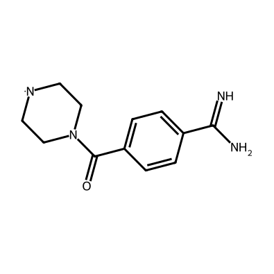 N=C(N)c1ccc(C(=O)N2CC[N]CC2)cc1